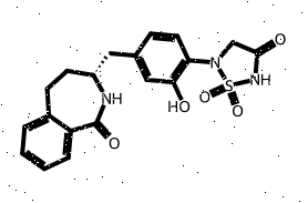 O=C1CN(c2ccc(C[C@H]3CCc4ccccc4C(=O)N3)cc2O)S(=O)(=O)N1